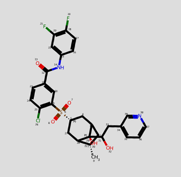 C[C@H]1CC2C[C@@H](S(=O)(=O)c3cc(C(=O)Nc4ccc(F)c(F)c4)ccc3Cl)CC1[C@@]2(O)C(O)Cc1cccnc1